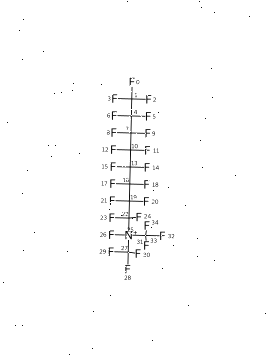 FC(F)(F)C(F)(F)C(F)(F)C(F)(F)C(F)(F)C(F)(F)C(F)(F)C(F)(F)[N+](F)(C(F)(F)F)C(F)(F)F